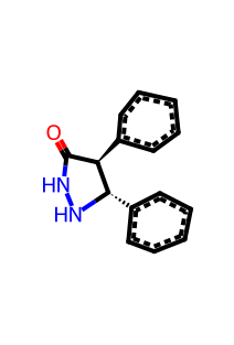 O=C1NN[C@@H](c2ccccc2)[C@@H]1c1ccccc1